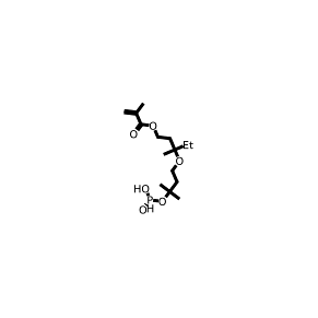 C=C(C)C(=O)OCCC(C)(CC)OCCC(C)(C)O[PH](=O)O